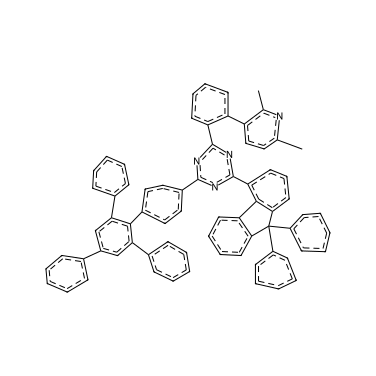 Cc1ccc(-c2ccccc2-c2nc(-c3ccc(-c4c(-c5ccccc5)cc(-c5ccccc5)cc4-c4ccccc4)cc3)nc(-c3cccc4c3-c3ccccc3C4(c3ccccc3)c3ccccc3)n2)c(C)n1